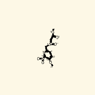 COC(=O)C[S+]([O-])Cc1ccc(OC)c([N+](=O)[O-])n1